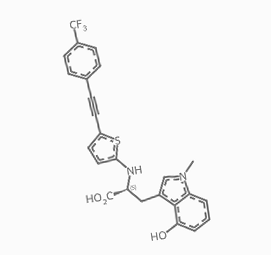 Cn1cc(C[C@H](Nc2ccc(C#Cc3ccc(C(F)(F)F)cc3)s2)C(=O)O)c2c(O)cccc21